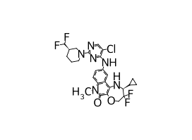 Cn1c(=O)c2c(c3cc(Nc4nc(N5CCC[C@@H](C(F)F)C5)ncc4Cl)ccc31)N[C@@H](C1CC1)C(F)(F)CO2